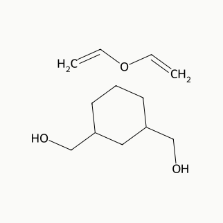 C=COC=C.OCC1CCCC(CO)C1